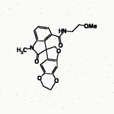 COCCNC(=O)c1cccc2c1C1(COc3cc4c(cc31)OCCO4)C(=O)N2C